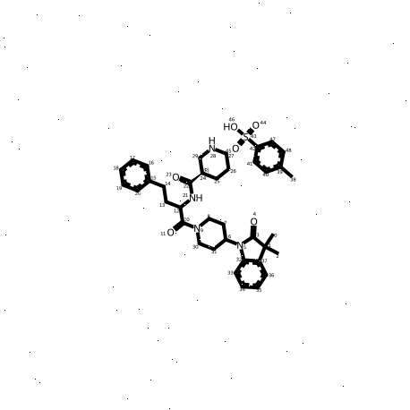 CC1(C)C(=O)N(C2CCN(C(=O)C(CCc3ccccc3)NC(=O)[C@@H]3CCCNC3)CC2)c2ccccc21.Cc1ccc(S(=O)(=O)O)cc1